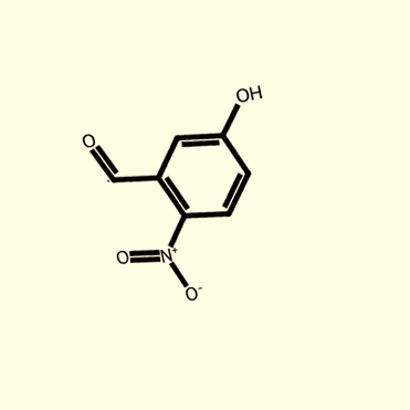 O=[C]c1cc(O)ccc1[N+](=O)[O-]